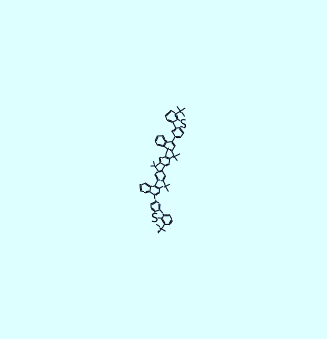 CC(C)(C)c1cccc2c1sc1ccc(-c3cc4c(c5ccccc35)-c3cc5c(cc3C4(C)C)-c3cc4c(cc3C5(C)C)-c3c(cc(-c5ccc6sc7c(C(C)(C)C)cccc7c6c5)c5ccccc35)C4(C)C)cc12